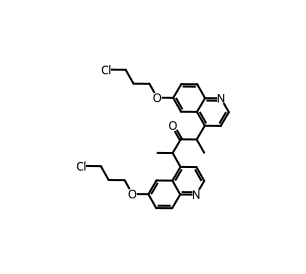 CC(C(=O)C(C)c1ccnc2ccc(OCCCCl)cc12)c1ccnc2ccc(OCCCCl)cc12